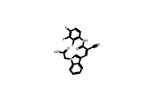 N#CC(=Cc1cn(CC(=O)O)c2ccccc12)C(=O)Nc1ccc(F)c(F)c1F